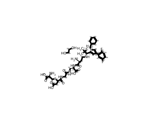 CC(C)(C)[C@@H](NCC[C@H](N)C(=O)N[C@H](CNC(=O)CNC(=O)C(CC(=O)O)SC[C@H](N)C(=O)O)C(=O)O)c1cc(-c2cc(F)ccc2F)cn1Cc1ccccc1.OCCO